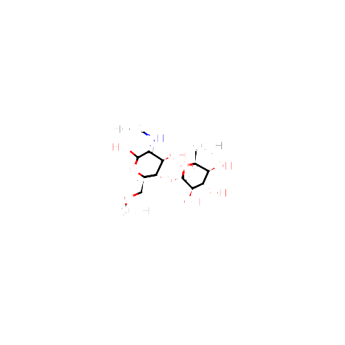 O=C(O)[C@@H]1O[C@@H](O[C@H]2[C@H](O)[C@@H](NS(=O)(=O)O)C(O)O[C@@H]2COS(=O)(=O)O)[C@H](O)[C@@H](O)[C@@H]1O